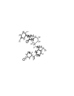 C=C(c1cncc(Cl)c1)c1ncc(CC)c(NC[C@H]2CCCN(C(=O)Nc3cccc(C)c3)C2)n1